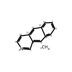 C.c1ccc2cc3cnccc3cc2c1